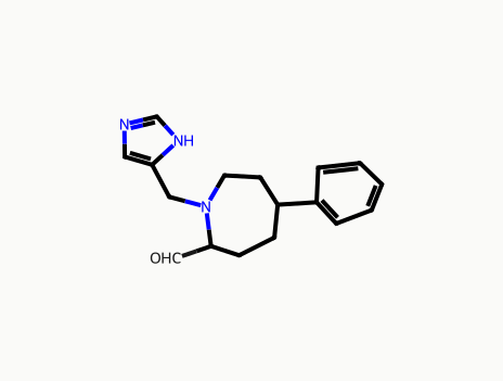 O=CC1CCC(c2ccccc2)CCN1Cc1cnc[nH]1